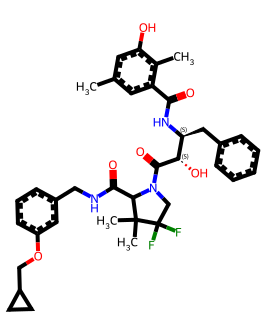 Cc1cc(O)c(C)c(C(=O)N[C@@H](Cc2ccccc2)[C@H](O)C(=O)N2CC(F)(F)C(C)(C)C2C(=O)NCc2cccc(OCC3CC3)c2)c1